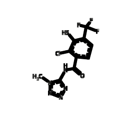 Cn1nnnc1NC(=O)c1ccc(C(F)(F)F)c(S)c1Cl